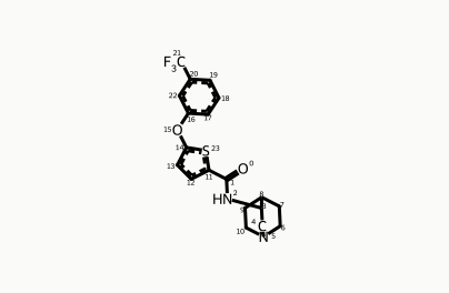 O=C(NC1CN2CCC1CC2)c1ccc(Oc2cccc(C(F)(F)F)c2)s1